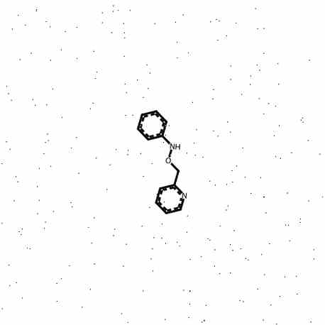 c1ccc(NOCc2ccccn2)cc1